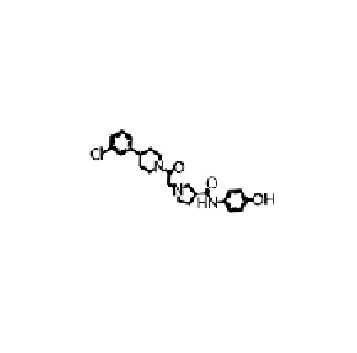 O=C(Nc1ccc(O)cc1)[C@H]1CCN(CC(=O)N2CCC(c3cccc(Cl)c3)CC2)C1